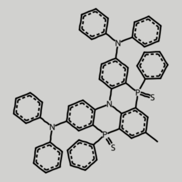 Cc1cc2c3c(c1)P(=S)(c1ccccc1)c1cc(N(c4ccccc4)c4ccccc4)ccc1N3c1ccc(N(c3ccccc3)c3ccccc3)cc1P2(=S)c1ccccc1